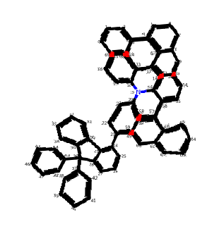 c1ccc(-c2cccc3cccc(-c4ccccc4N(c4ccc(-c5cccc6c5-c5ccccc5C6(c5ccccc5)c5ccccc5)cc4)c4ccccc4-c4cccc5ccccc45)c23)cc1